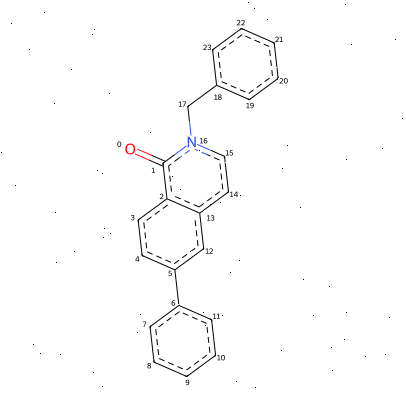 O=c1c2ccc(-c3ccccc3)cc2ccn1Cc1ccccc1